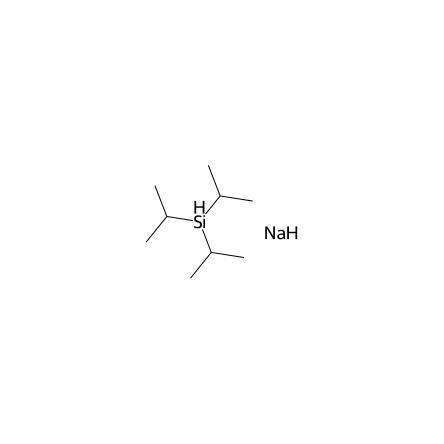 CC(C)[SiH](C(C)C)C(C)C.[NaH]